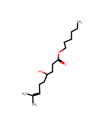 CCCCCCOC(=O)CCC(O)CCC=C(C)C